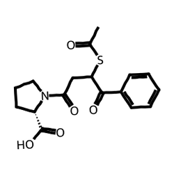 CC(=O)SC(CC(=O)N1CCC[C@H]1C(=O)O)C(=O)c1ccccc1